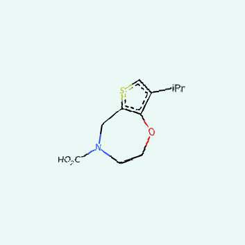 CC(C)c1csc2c1OCCN(C(=O)O)C2